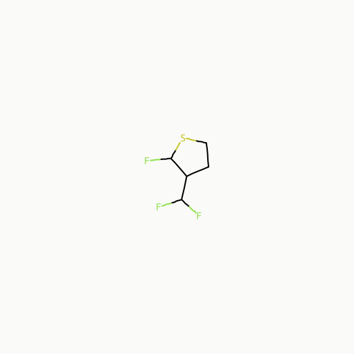 FC(F)C1CCSC1F